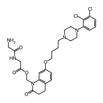 NCC(=O)NCC(=O)OCN1C(=O)CCc2ccc(OCCCCN3CCN(c4cccc(Cl)c4Cl)CC3)cc21